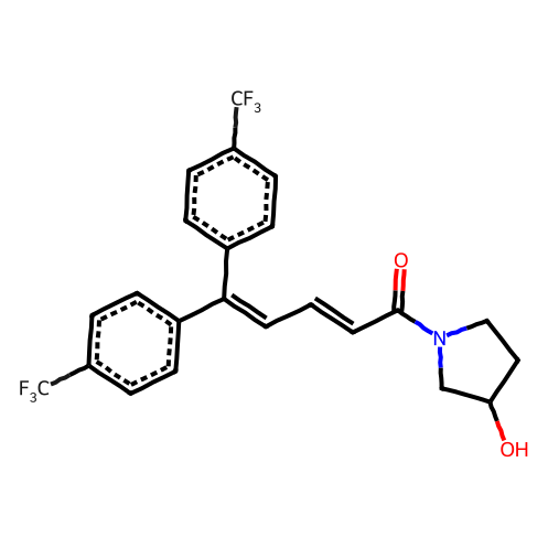 O=C(C=CC=C(c1ccc(C(F)(F)F)cc1)c1ccc(C(F)(F)F)cc1)N1CCC(O)C1